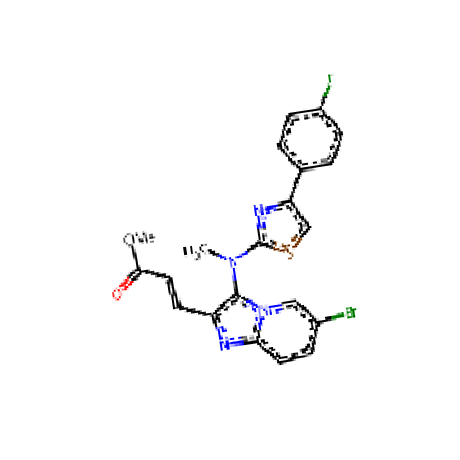 COC(=O)C=Cc1nc2ccc(Br)cn2c1N(C)c1nc(-c2ccc(F)cc2)cs1